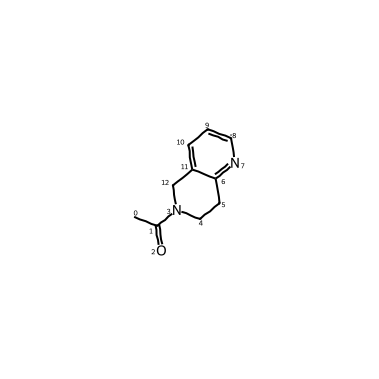 CC(=O)N1CCc2n[c]ccc2C1